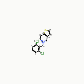 Clc1cccc(Cl)c1CN1CCc2sccc2C1